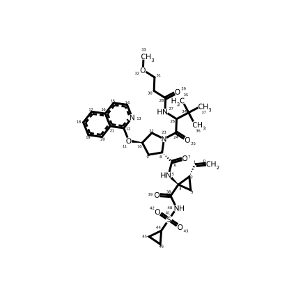 C=C[C@@H]1C[C@]1(NC(=O)[C@@H]1C[C@@H](Oc2nccc3ccccc23)CN1C(=O)C(NC(=O)CCOC)C(C)(C)C)C(=O)NS(=O)(=O)C1CC1